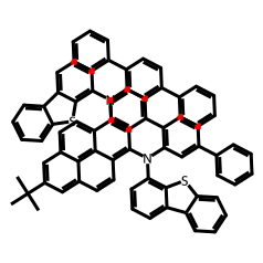 CC(C)(C)c1cc2ccc3c(N(c4cc(-c5ccccc5)ccc4-c4ccccc4)c4cccc5c4sc4ccccc45)cc(N(c4cc(-c5ccccc5)ccc4-c4ccccc4)c4cccc5c4sc4ccccc45)c4ccc(c1)c2c34